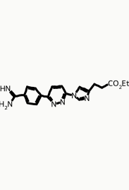 CCOC(=O)CCc1cn(-c2ccc(-c3ccc(C(=N)N)cc3)nn2)cn1